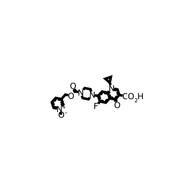 O=C(O)c1cn(C2CC2)c2cc(N3CCN(C(=O)OCc4ccc[n+]([O-])c4)CC3)c(F)cc2c1=O